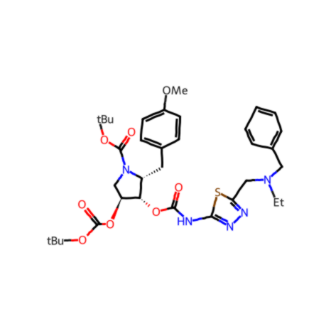 CCN(Cc1ccccc1)Cc1nnc(NC(=O)O[C@@H]2[C@@H](OC(=O)OC(C)(C)C)CN(C(=O)OC(C)(C)C)[C@@H]2Cc2ccc(OC)cc2)s1